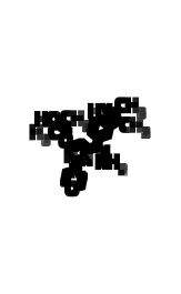 Cc1[nH]c2ccc(C(=NN)c3cc(OCC(C)(C)O)nc(N4CCOCC4)n3)cc2c1C